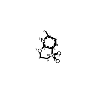 Cc1ccc2c(n1)OCCS2(=O)=O